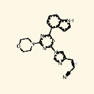 N#C/C=C\c1cn(-c2nc(-c3cccc4[nH]ccc34)nc(N3CCOCC3)n2)cn1